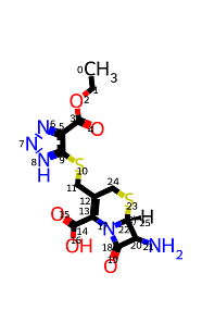 CCOC(=O)c1nn[nH]c1SCC1=C(C(=O)O)N2C(=O)C(N)[C@H]2SC1